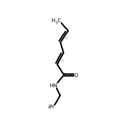 C/C=C/C=C/C(=O)NCC(C)C